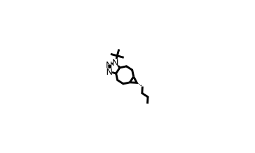 CCCC[C@@H]1C2CCC3N=NN(C(C)(C)C)C3CCC21